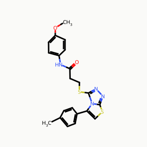 COc1ccc(NC(=O)CCSc2nnc3scc(-c4ccc(C)cc4)n23)cc1